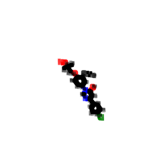 COc1cc(-n2cnc(-c3ccc(Cl)cc3)cc2=O)ccc1OCC(C)(C)O